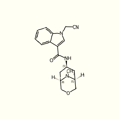 CN1[C@@H]2COC[C@H]1C[C@@H](NC(=O)c1cn(CC#N)c3ccccc13)C2